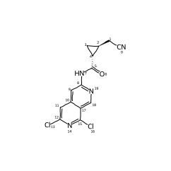 N#CC[C@@H]1C[C@H]1C(=O)Nc1cc2cc(Cl)nc(Cl)c2cn1